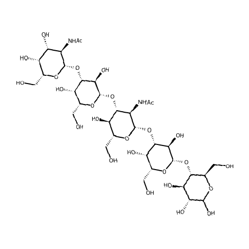 CC(=O)N[C@H]1[C@H](O[C@H]2[C@@H](O)[C@@H](CO)O[C@@H](O[C@H]3[C@H](O)[C@@H](CO)O[C@@H](O[C@H]4[C@@H](O)[C@@H](CO)O[C@@H](O[C@H]5[C@H](O)[C@@H](O)C(O)O[C@@H]5CO)[C@@H]4O)[C@@H]3NC(C)=O)[C@@H]2O)O[C@H](CO)[C@H](O)[C@@H]1O